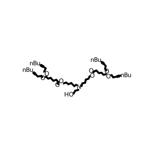 CCCCC#CCCOC(CCCCC(=O)OCCCCCCN(CCCO)CCCCCCOC(=O)CCCCC(OCCC#CCCCC)OCCC#CCCCC)OCCC#CCCCC